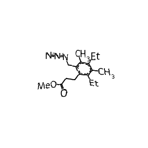 CCc1c(C)c(CC)c(CCC(=O)OC)c(CN=[N+]=[N-])c1C